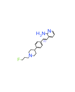 Nc1ncccc1/C=C/c1ccc(C2CCN(CCCF)CC2)cc1